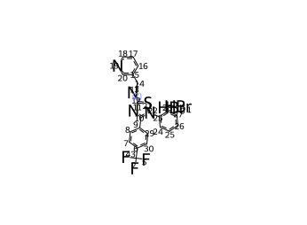 Br.Br.FC(F)(F)c1ccc(-c2n/c(=N/Cc3cccnc3)sn2-c2ccccc2)cc1